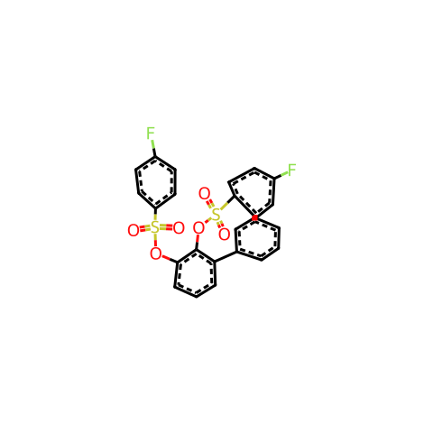 O=S(=O)(Oc1cccc(-c2ccccc2)c1OS(=O)(=O)c1ccc(F)cc1)c1ccc(F)cc1